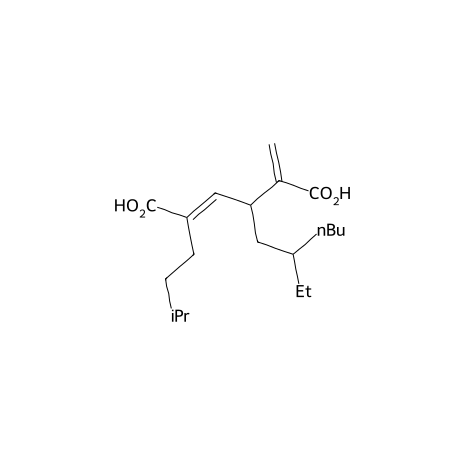 C=C(C(=O)O)C(C=C(CCC(C)C)C(=O)O)CC(CC)CCCC